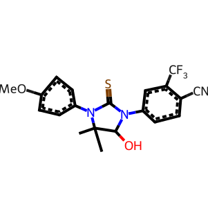 COc1ccc(N2C(=S)N(c3ccc(C#N)c(C(F)(F)F)c3)C(O)C2(C)C)cc1